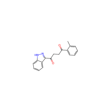 Cc1ccccc1C(=O)CCC(=O)c1n[nH]c2ccccc12